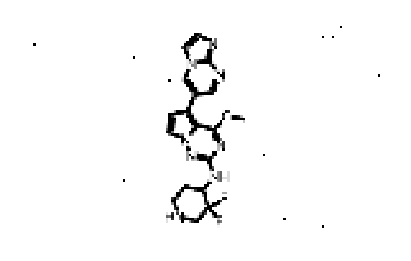 COc1nc(NC2CCNCC2(F)F)nn2ccc(-c3cnc4nccn4c3)c12